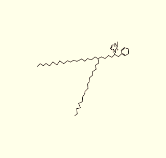 CCCCCCCCCCCCCCCCCCC(CCCCCCCCCCCCCCCCCC)CCCCC(CC1=CCCC=C1)[n+]1ccn(C)c1